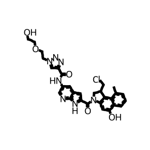 Cc1cccc2c(O)cc3c(c12)C(CCl)CN3C(=O)c1cc2cc(NC(=O)c3cn(CCOCCO)nn3)cnc2[nH]1